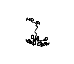 CC(C)(C)OC(=O)N(CCCCC(=O)CO)C(=O)OC(C)(C)C